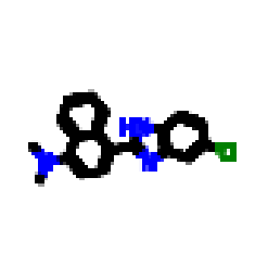 CN(C)c1ccc(-c2nc3cc(Cl)ccc3[nH]2)c2ccccc12